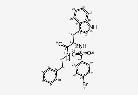 O=C(NCCc1ccccc1)C(Cc1c[nH]c2ccccc12)NS(=O)(=O)c1ccc(Br)cc1